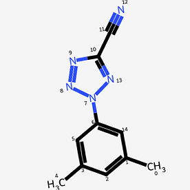 Cc1cc(C)cc(-n2nnc(C#N)n2)c1